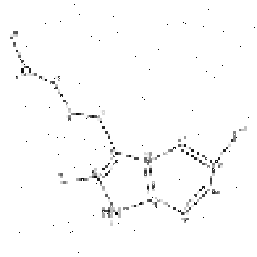 COCCCc1c(C)[nH]c2ccc(I)cc12